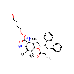 CCC(=O)OC1=C(C)C(C)=C(N)C(N)(C(=O)OOCCCC=O)C1(C)CCC(Cc1ccccc1)c1ccccc1